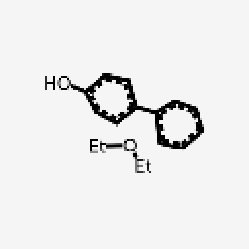 CCOCC.Oc1ccc(-c2ccccc2)cc1